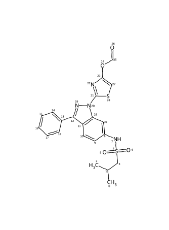 CC(C)CS(=O)(=O)Nc1ccc2c(-c3ccccc3)nn(-c3nc(OC=O)cs3)c2c1